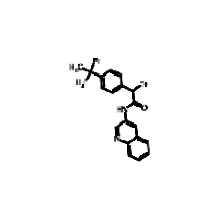 CCC(C(=O)Nc1cnc2ccccc2c1)c1ccc(C(C)(C)CC)cc1